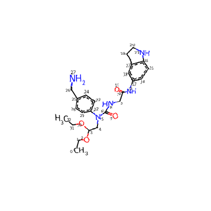 CCOC(CN(C(=O)NCC(=O)Nc1ccc2c(c1)CCN2)c1ccc(CN)cc1)OCC